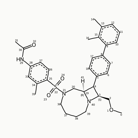 COC[C@@H]1C(c2ccc(-c3cccc(C)c3C)cc2)[C@@H]2CN(S(=O)(=O)c3ccc(NC(C)=O)cc3C)CCCCN12